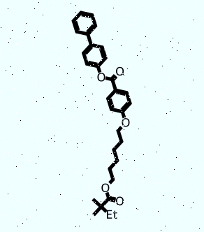 CCC(C)(C)C(=O)OCCCCCCOc1ccc(C(=O)Oc2ccc(-c3ccccc3)cc2)cc1